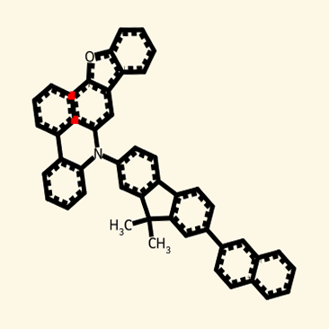 CC1(C)c2cc(-c3ccc4ccccc4c3)ccc2-c2ccc(N(c3ccc4oc5ccccc5c4c3)c3ccccc3-c3ccccc3)cc21